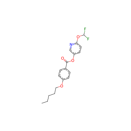 CCCCCOc1ccc(C(=O)Oc2ccc(OC(F)F)nc2)cc1